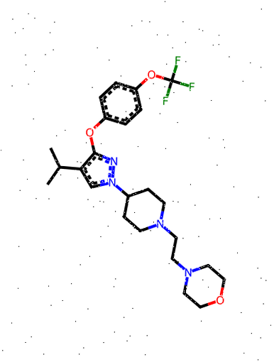 CC(C)c1cn(C2CCN(CCN3CCOCC3)CC2)nc1Oc1ccc(OC(F)(F)F)cc1